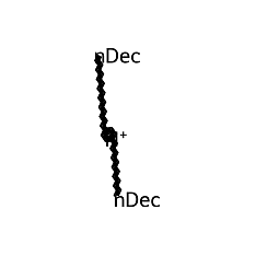 CCCCCCCCCCCCCCCCCCCCCCCCCc1cc[n+](CCCCCCCCCCCCCCCCCCCCCC)cc1